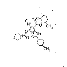 [C-]#[N+]c1c(C(=O)OC2C(C)CCCC2C)c2[nH]c(-c3ccc(C)cc3)nn2c1OC(=O)N1CCCCC1